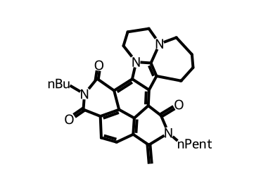 C=c1c2ccc3c4c(c5c(c6c7n5CCCN7CCCC6)c(c(=O)n1CCCCC)c42)C(=O)N(CCCC)C3=O